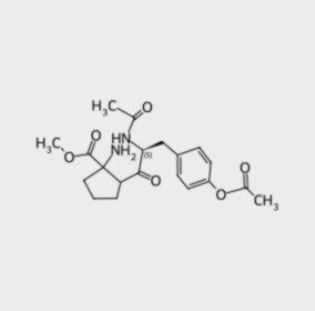 COC(=O)C1(N)CCCC1C(=O)[C@H](Cc1ccc(OC(C)=O)cc1)NC(C)=O